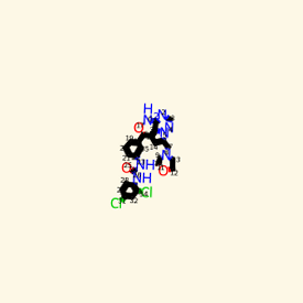 Nc1ncnn2c(CN3CCOCC3)cc(C(=O)c3cccc(NC(=O)Nc4ccc(Cl)cc4Cl)c3)c12